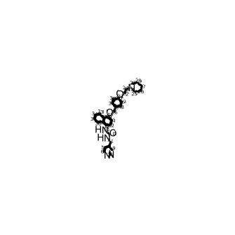 O=C(NCc1ccnnc1)Nc1ccc(OCc2ccc(OCCN3CCCCC3)cc2)c2ccccc12